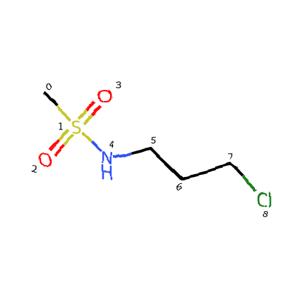 CS(=O)(=O)NCCCCl